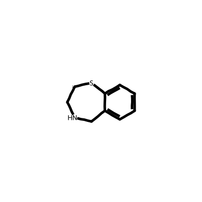 [C]1CNCc2ccccc2S1